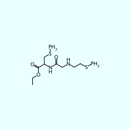 CCOC(=O)C(CSP)NC(=O)CNCCSP